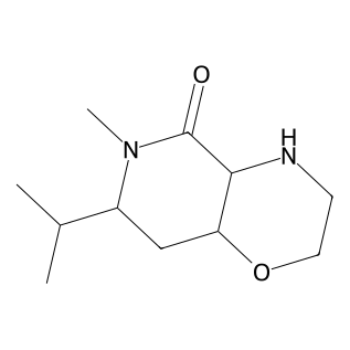 CC(C)C1CC2OCCNC2C(=O)N1C